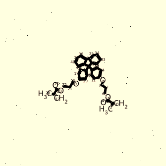 C=C(C)C(=O)OCCCOc1ccc(C2(c3ccc(OCCCOC(=O)C(=C)C)cc3)c3ccccc3-c3ccccc32)cc1